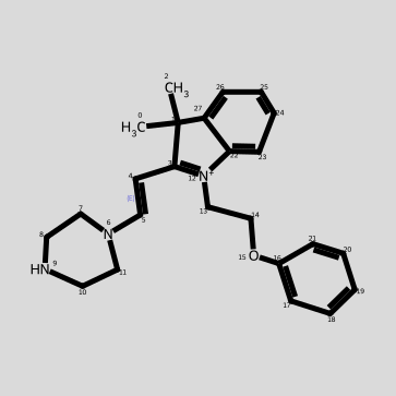 CC1(C)C(/C=C/N2CCNCC2)=[N+](CCOc2ccccc2)c2ccccc21